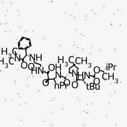 CCCC(NC(=O)[C@@H]1CC(C)(C)CN1C(=O)[C@@H](NC(=O)O[C@@H](C)C(C)C)C(C)(C)C)C(=O)C(=O)NCC(=O)N[C@H](C(=O)N(C)C)c1ccccc1